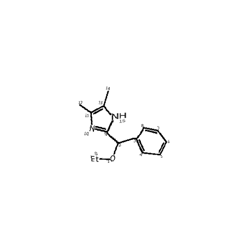 CCOC(c1ccccc1)c1nc(C)c(C)[nH]1